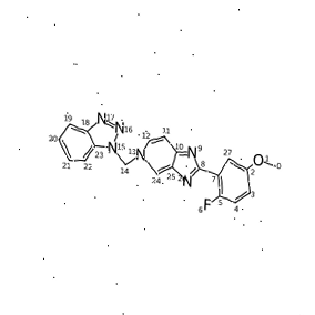 COc1ccc(F)c(-c2nc3ccn(Cn4nnc5ccccc54)cc-3n2)c1